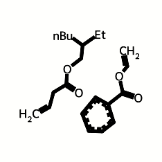 C=CCC(=O)OCC(CC)CCCC.C=COC(=O)c1ccccc1